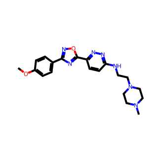 COc1ccc(-c2noc(-c3ccc(NCCN4CCN(C)CC4)nn3)n2)cc1